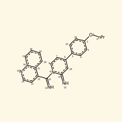 CCCOc1ccc(-c2ccn(C(=N)c3ccnc4ccccc34)c(=N)c2)cc1